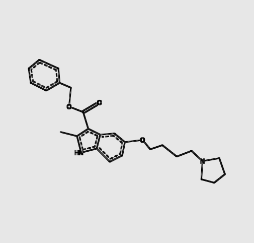 Cc1[nH]c2ccc(OCCCCN3CCCC3)cc2c1C(=O)OCc1ccccc1